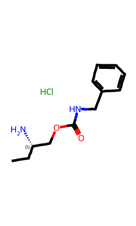 CC[C@H](N)COC(=O)NCc1ccccc1.Cl